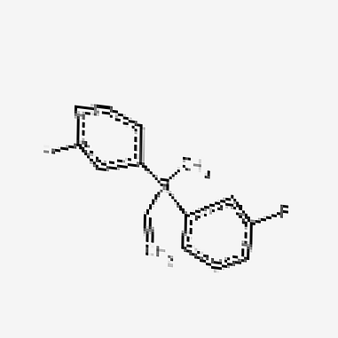 C=C[Si](C)(c1cccc(F)c1)c1cccc(F)c1